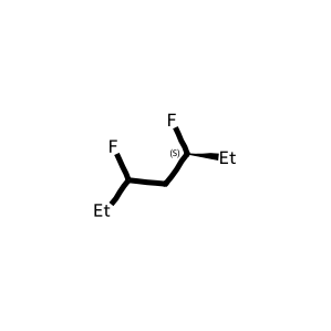 [CH2]CC(F)C[C@@H](F)CC